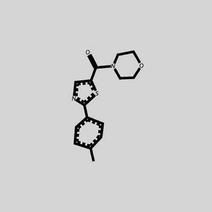 Cc1ccc(-c2ncc(C(=O)N3CCOCC3)s2)cc1